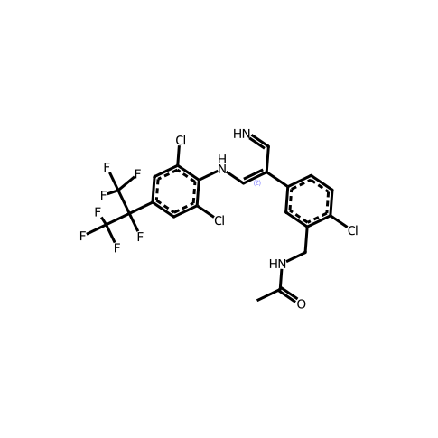 CC(=O)NCc1cc(/C(C=N)=C/Nc2c(Cl)cc(C(F)(C(F)(F)F)C(F)(F)F)cc2Cl)ccc1Cl